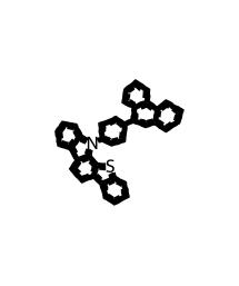 c1ccc2c(c1)cc(-c1ccc(-n3c4ccccc4c4ccc5c6ccccc6sc5c43)cc1)c1ccccc12